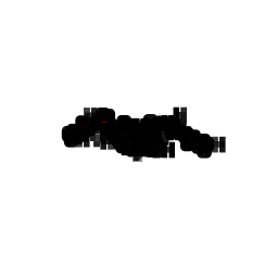 Nc1c(/N=N/c2cc(Nc3nc(F)nc(Nc4ccc(S(=O)(=O)CCOS(=O)(=O)O)cc4)n3)ccc2S(=O)(=O)O)cc(S(=O)(=O)O)c(N)c1/N=N/c1cc(/N=N/c2c(S(=O)(=O)O)cc3cc(S(=O)(=O)O)c(/N=N/c4ccc(S(=O)(=O)CCOS(=O)(=O)O)cc4)c(N)c3c2O)c(S(=O)(=O)O)cc1S(=O)(=O)O